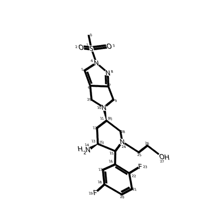 CS(=O)(=O)n1cc2c(n1)CN([C@@H]1C[C@H](N)C(c3cc(F)ccc3F)N(CCO)C1)C2